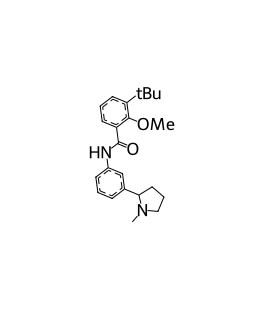 COc1c(C(=O)Nc2cccc(C3CCCN3C)c2)cccc1C(C)(C)C